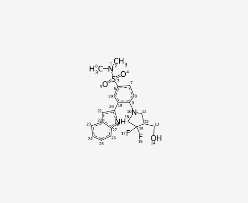 CN(C)S(=O)(=O)c1ccc(N2CC(CO)C(F)(F)C2)c(-c2cc3ccccc3[nH]2)c1